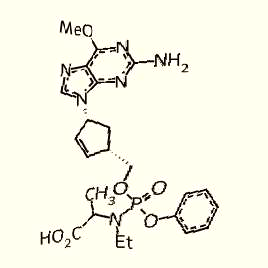 CCN(C(C)C(=O)O)P(=O)(OC[C@@H]1C=C[C@H](n2cnc3c(OC)nc(N)nc32)C1)Oc1ccccc1